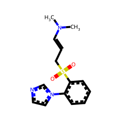 CN(C)C=CCS(=O)(=O)c1ccccc1-n1ccnc1